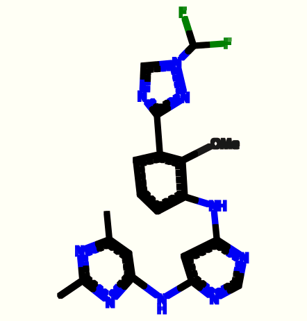 COc1c(Nc2cc(Nc3cc(C)nc(C)n3)ncn2)cccc1-c1ncn(C(F)F)n1